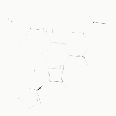 CC(=O)NC1S[C@@H]2[C@H](c3cccs3)C(=O)N2C(C(=O)[O-])=C1COC(C)=O.[Na+]